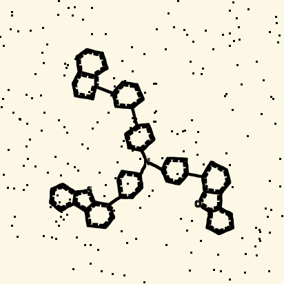 c1cc(-c2ccc(N(c3ccc(-c4cccc5c4oc4ccccc45)cc3)c3ccc(-c4cccc5c4sc4ccccc45)cc3)cc2)cc(-c2cccc3ccccc23)c1